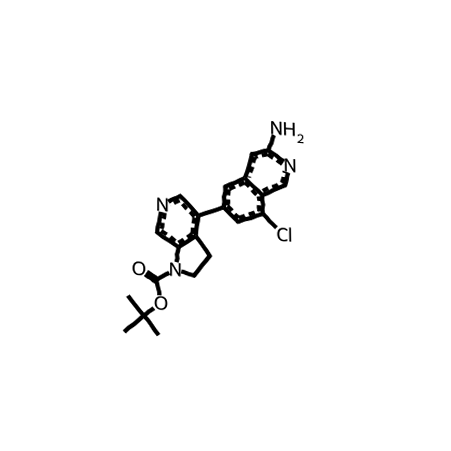 CC(C)(C)OC(=O)N1CCc2c(-c3cc(Cl)c4cnc(N)cc4c3)cncc21